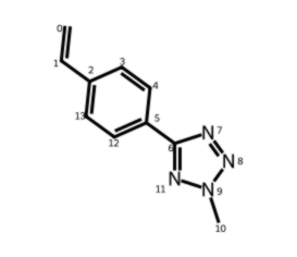 C=Cc1ccc(-c2nnn(C)n2)cc1